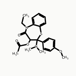 CCN1C(=O)C(OC(C)=O)C(c2ccc(OC)cc2)(N(C)C)Sc2ccccc21